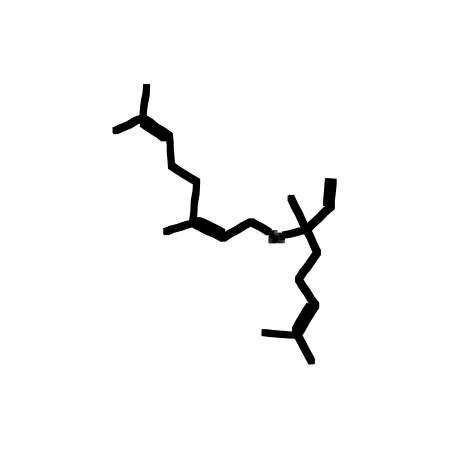 C=CC(C)(CCC=C(C)C)[Se]CC=C(C)CCC=C(C)C